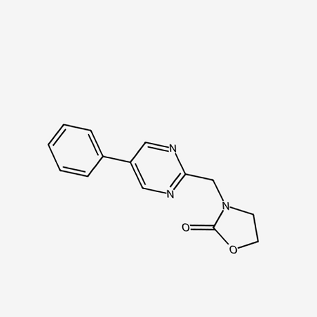 O=C1OCCN1Cc1ncc(-c2ccccc2)cn1